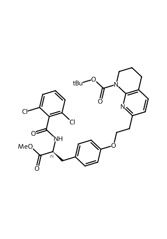 COC(=O)[C@H](Cc1ccc(OCCc2ccc3c(n2)N(C(=O)OC(C)(C)C)CCC3)cc1)NC(=O)c1c(Cl)cccc1Cl